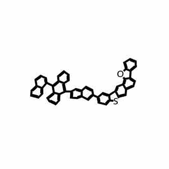 c1ccc2c(-c3c4ccccc4c(-c4ccc5cc(-c6ccc7sc8cc9ccc%10c%11ccccc%11oc%10c9cc8c7c6)ccc5c4)c4ccccc34)cccc2c1